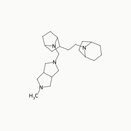 CN1CC2CN(CN3C4CCC3C(CCN3C5CCCC3CC5)C4)CC2C1